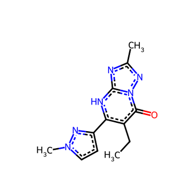 CCc1c(-c2ccn(C)n2)[nH]c2nc(C)nn2c1=O